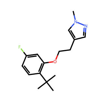 Cn1cc(CCOc2cc(F)ccc2C(C)(C)C)cn1